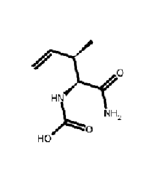 C=C[C@@H](C)[C@H](NC(=O)O)C(N)=O